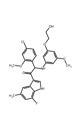 COc1cc(NC(C(=O)c2c[nH]c3c(F)cc(C)cc23)c2ccc(Cl)cc2OC)cc(OCCO)c1